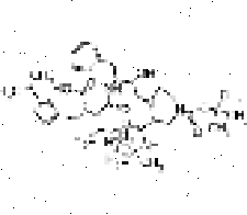 CC(C)c1ncc(CN(C(=O)O)[C@H](C(=O)N[C@@H](Cc2ccccc2)[C@H](O)CN2CCN(C(=O)OC(C)(C)C)C[C@H]2C(=O)NC(C)(C)C)C(C)C)s1